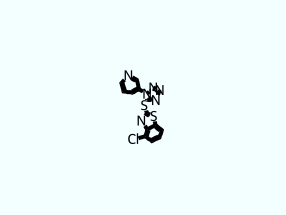 Clc1cccc2sc(Sc3nnnn3-c3cccnc3)nc12